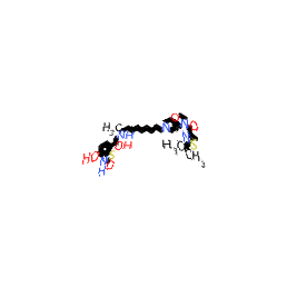 CC(CCCCCCCCN1CCC2(CC1)CN(C(=O)c1csc(C(C)C)n1)CCO2)NC[C@H](O)c1ccc(O)c2[nH]c(=O)sc12